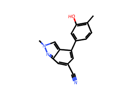 Cc1ccc(-c2cc(C#N)cc3nn(C)cc23)cc1O